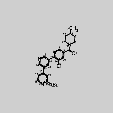 CC1CCN(C(=O)c2ccc(-c3cncc(-c4ccnc(C(C)(C)C)c4)c3)c(Cl)c2)CC1